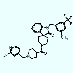 Cc1cc(CN2C(=O)C3(CCN(C(=O)C4CCN(Cc5ccnc(N)c5)CC4)CC3)c3ccccc32)cc(C(F)(F)F)c1